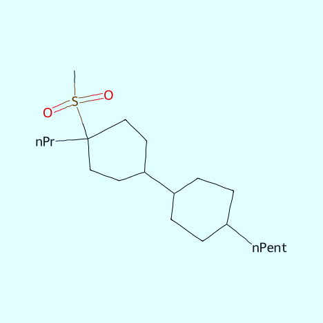 CCCCCC1CCC(C2CCC(CCC)(S(C)(=O)=O)CC2)CC1